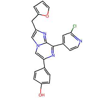 Oc1ccc(-c2cn3cc(Cc4ccco4)nc3c(-c3ccnc(Cl)c3)n2)cc1